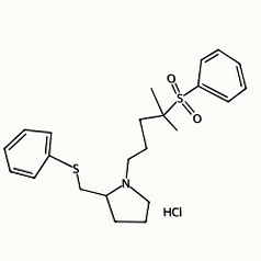 CC(C)(CCCN1CCCC1CSc1ccccc1)S(=O)(=O)c1ccccc1.Cl